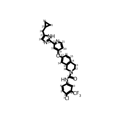 O=C(Nc1ccc(Cl)c(C(F)(F)F)c1)N1CCc2ccc(Oc3ccnc(-c4ncc(CC5CC5)[nH]4)c3)cc2C1